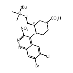 CC(C)(C)[Si](C)(C)OC[C@H]1CN(C(=O)O)CCN1c1c([N+](=O)[O-])nnc2cc(Br)c(Cl)cc12